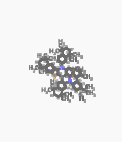 Cc1cc2c3c(c1)N(c1ccc4c(c1)C(C)(C)CCC4(C)C)c1c(sc4cc5c(cc14)C(C)(C)CCC5(C)C)B3c1cc3c(cc1N2c1ccc([Si](C)(C)C)cc1-c1ccccc1C)C(C)(C)CCC3(C)C